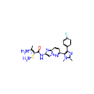 C/C(N)=C(/SN)C(=O)Nc1cn2nc(-c3c(-c4ccc(F)cc4)nc(C)n3C)ccc2n1